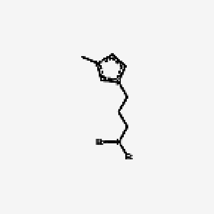 CCN(CC)CCCn1cc[n+](C)c1